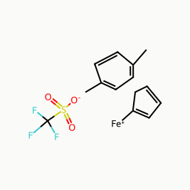 Cc1ccc(C)cc1.O=S(=O)([O-])C(F)(F)F.[Fe+][C]1=CC=CC1